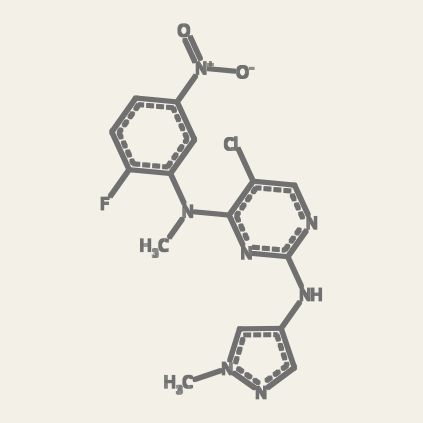 CN(c1cc([N+](=O)[O-])ccc1F)c1nc(Nc2cnn(C)c2)ncc1Cl